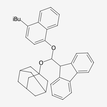 CCC(C)c1ccc(OC(OC23CC4CC(CC(C4)C2)C3)C2c3ccccc3-c3ccccc32)c2ccccc12